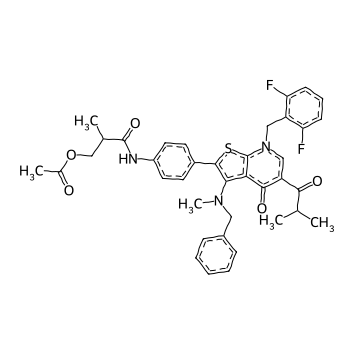 CC(=O)OCC(C)C(=O)Nc1ccc(-c2sc3c(c2N(C)Cc2ccccc2)c(=O)c(C(=O)C(C)C)cn3Cc2c(F)cccc2F)cc1